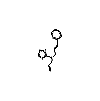 C=CCN(CC=Cc1ccccn1)c1nccs1